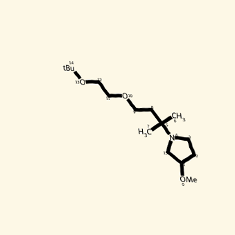 COC1CCN(C(C)(C)CCOCCOC(C)(C)C)C1